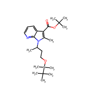 Cc1c(C(=O)OC(C)(C)C)c2cccnc2n1C(C)CCO[Si](C)(C)C(C)(C)C